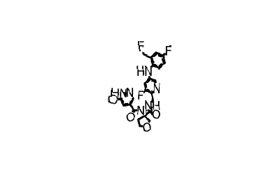 O=C(N[C@@]1(C(=O)NCc2ncc(Nc3ccc(F)cc3CF)cc2F)CCOC1)c1cn[nH]c(=O)c1